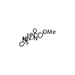 COc1ccc2nc(CNc3nc4ccccc4s3)[nH]c(=O)c2c1